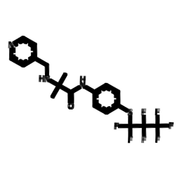 CC(C)(NCc1ccncc1)C(=O)Nc1ccc(SC(F)(F)C(F)(F)C(F)(F)F)cc1